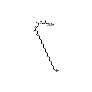 COC(C)COC(C)COC(C)COCCCCCCCCCCCCCCCCC(C)C